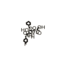 O=C(NCc1ccc(F)cc1)C1=CNC(C(=O)N2CCOCC2CO)=C(OCc2ccccc2)C1O